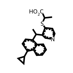 CC(Sc1ccncc1C(C)c1ccc(C2CC2)c2ccccc12)C(=O)O